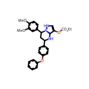 CCOC(=O)OC1=CNN2C1NC(c1ccc(Oc3ccccc3)cc1)CC2c1ccc(OC)c(OC)c1